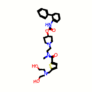 CN(CCN1CCC(OC(=O)Nc2ccccc2-c2ccccc2)CC1)C(=O)c1ccc(CN(CCO)CCO)s1